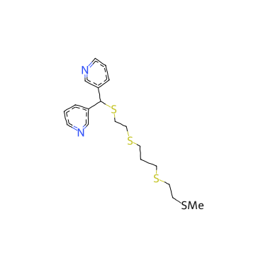 CSCCSCCCSCCSC(c1cccnc1)c1cccnc1